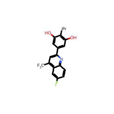 CC(C)c1c(O)cc(-c2cc(C(F)(F)F)c3cc(F)ccc3n2)cc1O